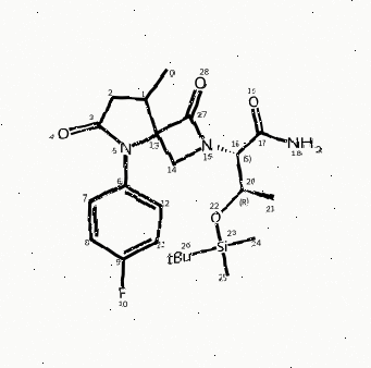 CC1CC(=O)N(c2ccc(F)cc2)C12CN([C@H](C(N)=O)[C@@H](C)O[Si](C)(C)C(C)(C)C)C2=O